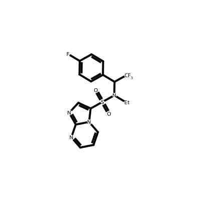 CCN(C(c1ccc(F)cc1)C(F)(F)F)S(=O)(=O)c1cnc2ncccn12